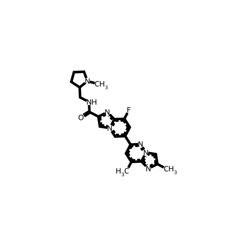 Cc1cn2nc(-c3cc(F)c4nc(C(=O)NCC5CCCN5C)cn4c3)cc(C)c2n1